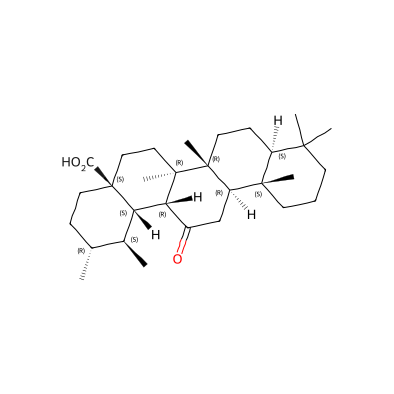 C[C@@H]1[C@H]2[C@H]3C(=O)C[C@@H]4[C@@]5(C)CCCC(C)(C)[C@@H]5CC[C@@]4(C)[C@]3(C)CC[C@@]2(C(=O)O)CC[C@H]1C